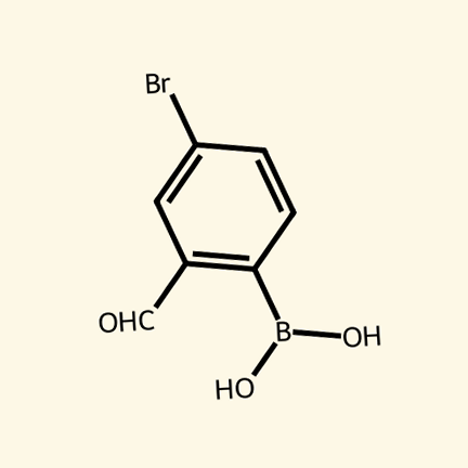 O=Cc1cc(Br)ccc1B(O)O